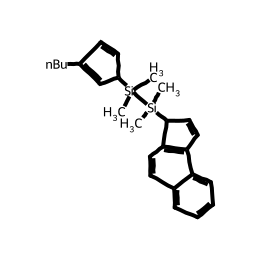 CCCCC1=CC([Si](C)(C)[Si](C)(C)C2C=Cc3c2ccc2ccccc32)C=C1